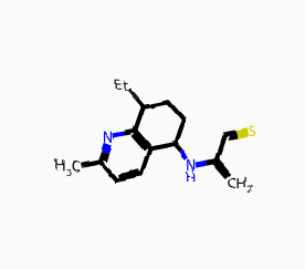 C=C(C=S)NC1CCC(CC)c2nc(C)ccc21